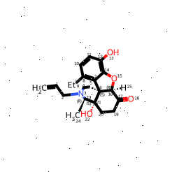 C=CCN1CC[C@]23c4c(CC)ccc(O)c4O[C@H]2C(=O)CC[C@@]3(O)[C@H]1C